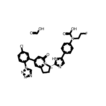 O=C(O)N(CCF)c1ccc(-c2cnc([C@@H]3CCc4cc(-c5cc(Cl)ccc5-n5cnnn5)cc(=O)n43)[nH]2)cc1.O=CO